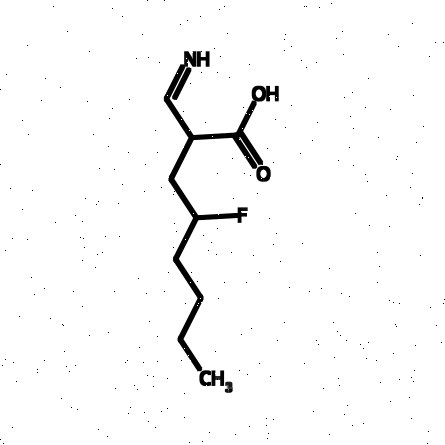 CCCCC(F)CC(C=N)C(=O)O